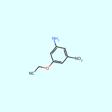 N#CCOc1cc(N)cc([N+](=O)[O-])c1